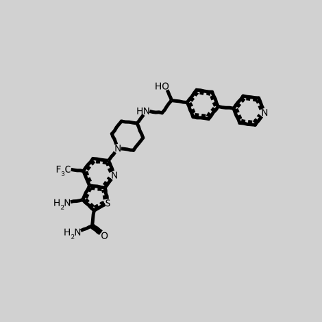 NC(=O)c1sc2nc(N3CCC(NCC(O)c4ccc(-c5ccncc5)cc4)CC3)cc(C(F)(F)F)c2c1N